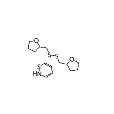 C1=CNSC=C1.C1COC(CSSCC2CCCO2)C1